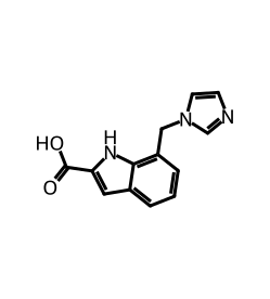 O=C(O)c1cc2cccc(Cn3ccnc3)c2[nH]1